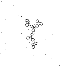 c1ccc(N(c2ccc(-c3ccc4c(c3)c3cc(-c5cccc6c5sc5ccccc56)ccc3n4-c3ccc4c5ccccc5c5ccccc5c4c3)cc2)c2ccc(-c3cccc4c3oc3ccccc34)cc2)cc1